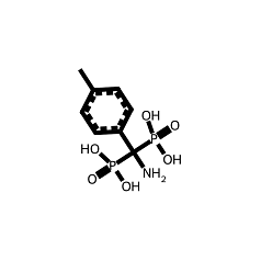 Cc1ccc(C(N)(P(=O)(O)O)P(=O)(O)O)cc1